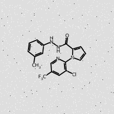 Cc1cccc(NNC(=O)c2cccn2-c2ncc(C(F)(F)F)cc2Cl)c1